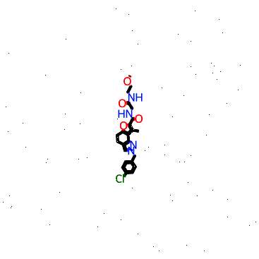 COCCNC(=O)CNC(=O)c1oc2c(c1C)-c1nn(Cc3ccc(Cl)cc3)cc1CC2